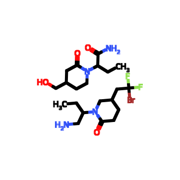 CCC(C(N)=O)N1CCC(CO)CC1=O.CCC(CN)N1CC(CC(F)(F)Br)CCC1=O